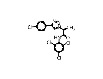 C=C(C(=O)Nc1c(Cl)cc(Cl)cc1Cl)n1cc(-c2ccc(Cl)cc2)nn1